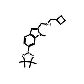 Cn1c(CNCC2CCC2)cc2ccc(B3OC(C)(C)C(C)(C)O3)cc21